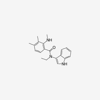 CCN(C(=O)c1ccc(C)c(C)c1NC)c1c[nH]c2ccccc12